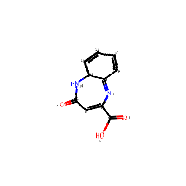 O=C1C=C(C(=O)O)N=C2C=CC=CC2N1